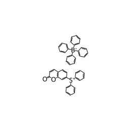 O=c1ccc2ccc([S+](c3ccccc3)c3ccccc3)cc2o1.c1ccc([B-](c2ccccc2)(c2ccccc2)c2ccccc2)cc1